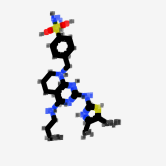 CCOC(=O)c1sc(Nc2nc(NCCNC(C)=O)c3c(n2)N(Cc2ccc(S(N)(=O)=O)cc2)CCC3)nc1C